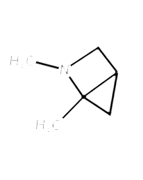 CN1CC2CC21C